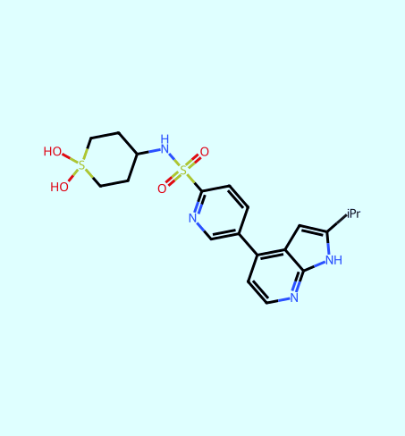 CC(C)c1cc2c(-c3ccc(S(=O)(=O)NC4CCS(O)(O)CC4)nc3)ccnc2[nH]1